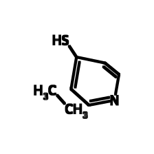 CC.Sc1ccncc1